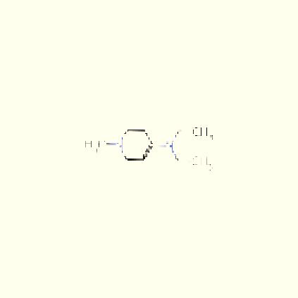 CCN(CC)C1=CCN(C)CC1